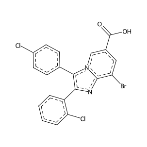 O=C(O)c1cc(Br)c2nc(-c3ccccc3Cl)c(-c3ccc(Cl)cc3)n2c1